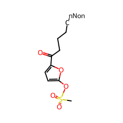 CCCCCCCCCCCCCC(=O)c1ccc(OS(C)(=O)=O)o1